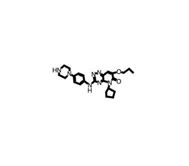 CCCOc1cc2nnc(Nc3ccc(N4CCNCC4)cc3)nc2n(C2CCCC2)c1=O